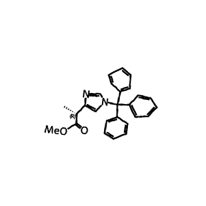 COC(=O)[C@H](C)c1cn(C(c2ccccc2)(c2ccccc2)c2ccccc2)cn1